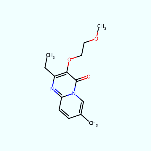 CCc1nc2ccc(C)cn2c(=O)c1OCCOC